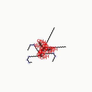 CC/C=C\C/C=C\C/C=C\CCCCCCCC(=O)O[C@@H]([C@H](OC(=O)CCCCCCC/C=C\C/C=C\CCCCC)[C@@H](OC(=O)CCCCCCC/C=C\C/C=C\CCCCC)C(=O)O[C@@H](C(=O)O)[C@@H](OC(=O)[C@H](O)[C@@H](O)[C@H](O)[C@H](O)CO)[C@H](OC(=O)[C@H](O)[C@@H](O)[C@H](O)[C@H](O)CO)[C@@H](COC(=O)CCCCCCCCCCCCCCCCC)OC(=O)CCCCCCCCCCCCCCCCC)[C@H](O)CO